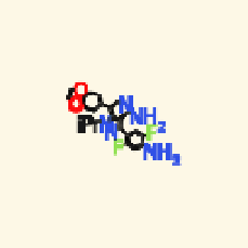 CC(C)n1nc(-c2cc(F)c(N)cc2F)c2c(N)ncc(C3CCC4(CC3)OCCO4)c21